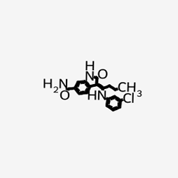 CCCC(Nc1cccc(Cl)c1)=C1C(=O)Nc2cc(C(N)=O)ccc21